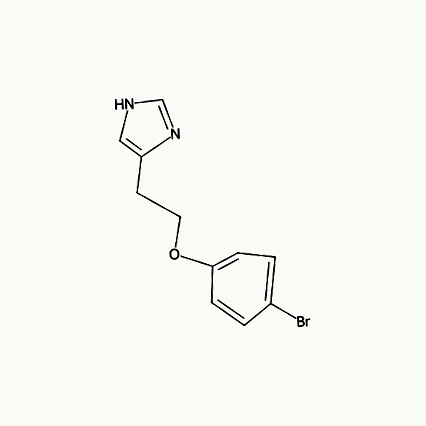 Brc1ccc(OCCc2c[nH]cn2)cc1